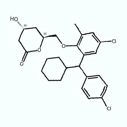 Cc1cc(Cl)cc(C(c2ccc(Cl)cc2)C2CCCCC2)c1OC[C@@H]1C[C@@H](O)CC(=O)O1